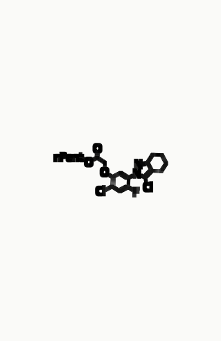 CCCCCOC(=O)COc1cc(-n2nc3c(c2Cl)CCCC3)c(F)cc1Cl